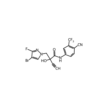 C#CC(O)(Cn1cc(Br)c(F)n1)C(=O)Nc1ccc(C#N)c(C(F)(F)F)c1